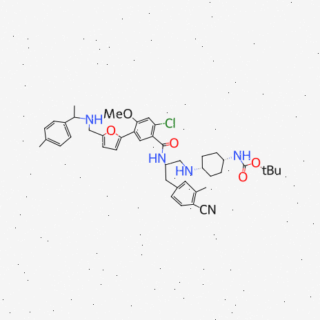 COc1cc(Cl)c(C(=O)NC(CN[C@H]2CC[C@@H](NC(=O)OC(C)(C)C)CC2)Cc2ccc(C#N)c(C)c2)cc1-c1ccc(CNC(C)c2ccc(C)cc2)o1